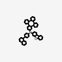 c1ccc2c(c1)-c1ccccc1-c1ccc(N(c3ccc(-c4cccc5ccccc45)cc3)c3ccc4c(c3)oc3ccccc34)cc1-c1ccccc1-2